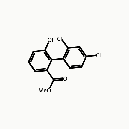 COC(=O)c1cccc(O)c1-c1ccc(Cl)cc1Cl